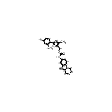 Cc1cc(F)ccc1-c1nc(C)c(COC(=O)Nc2ccc3c(c2)NC2CSCCN32)s1